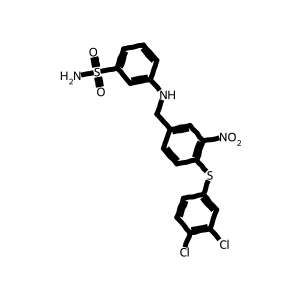 NS(=O)(=O)c1cccc(NCc2ccc(Sc3ccc(Cl)c(Cl)c3)c([N+](=O)[O-])c2)c1